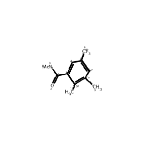 CNC(=O)c1cc(C(F)(F)F)cc(C)c1C